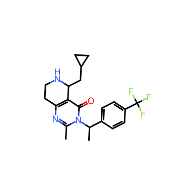 Cc1nc2c(c(=O)n1C(C)c1ccc(C(F)(F)F)cc1)C(CC1CC1)NCC2